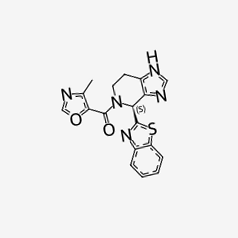 Cc1ncoc1C(=O)N1CCc2[nH]cnc2[C@H]1c1nc2ccccc2s1